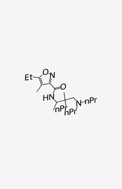 CCCN(CCC)CC(C)(CCC)C(C)NC(=O)c1noc(CC)c1C